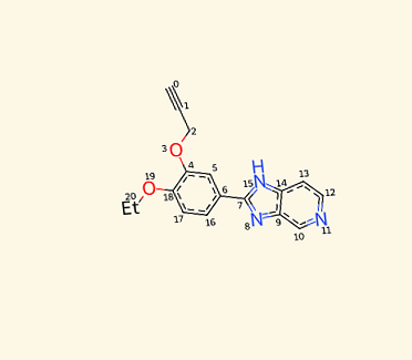 C#CCOc1cc(-c2nc3cnccc3[nH]2)ccc1OCC